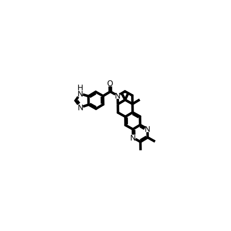 Cc1nc2cc3c(cc2nc1C)C1(C)CCN(C(=O)c2ccc4nc[nH]c4c2)C(C3)C1(C)C